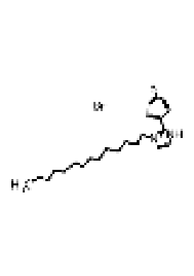 CCCCCCCCCCCCCC[n+]1cc[nH]c1-c1ccc(Br)cc1.[Br-]